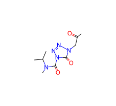 CC(=O)Cn1nnn(C(=O)N(C)C(C)C)c1=O